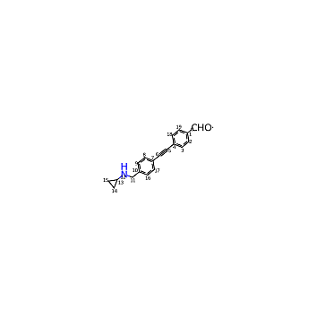 O=[C]c1ccc(C#Cc2ccc(CNC3CC3)cc2)cc1